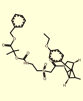 CCOc1ccc(N2C[C@@H]3C(C)C4C3N(C(=O)CS(=O)(=O)CCNC(=O)OC(C)(C)C(=O)OCc3ccccc3)C[C@H]42)cc1